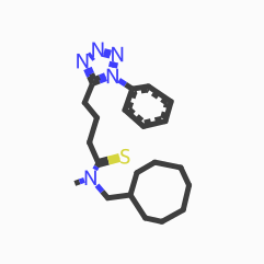 CN(CC1CCCCCCC1)C(=S)CCCc1nnnn1-c1ccccc1